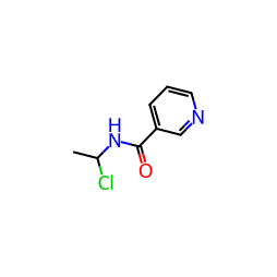 CC(Cl)NC(=O)c1cccnc1